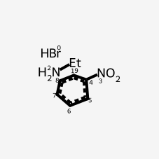 Br.CCN.O=[N+]([O-])c1ccccc1